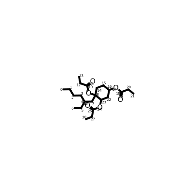 CCCCC(CC)CC1(OC(=O)CC)CCC(OC(=O)CC)CC1OC(=O)CC